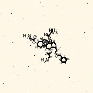 C[C@H](CN(C)Cc1ccccc1)[C@H]1CC[C@H]2[C@@H]3[C@H](OC(=O)CN)C[C@@H]4C[C@H](OC(=O)CN)CC[C@]4(C)[C@H]3C[C@H](OC(=O)CN)[C@]12C